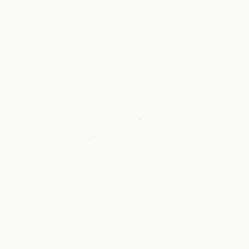 Oc1c(F)c(F)c(F)c(Cl)c1F